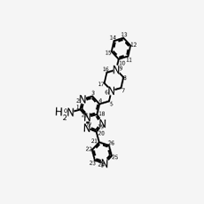 Nc1ncc(CN2CCN(c3ccccc3)CC2)c2nc(-c3ccncc3)nn12